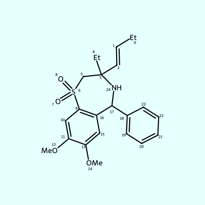 CCC=CC1(CC)CS(=O)(=O)c2cc(OC)c(OC)cc2C(c2ccccc2)N1